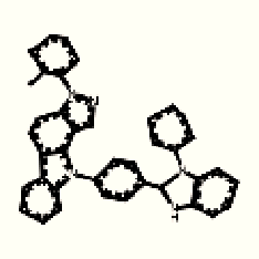 Cc1ccccc1-n1ncc2c1ccc1c3ccccc3n(-c3ccc(C4Nc5ccccc5N4c4ccccc4)cc3)c12